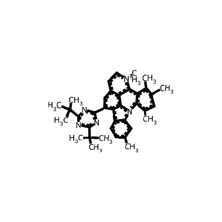 Cc1ccc2c3c(-c4nc(C(C)(C)C)nc(C(C)(C)C)n4)cc4cc[n+](C)c5c6c(C)c(C)cc(C)c6n(c2c1)c3c45